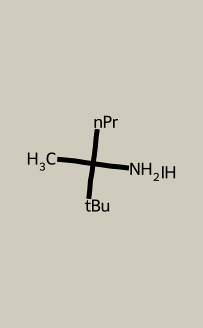 CCCC(C)(N)C(C)(C)C.I